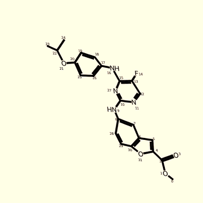 COC(=O)c1cc2cc(Nc3ncc(F)c(Nc4ccc(OC(C)C)cc4)n3)ccc2o1